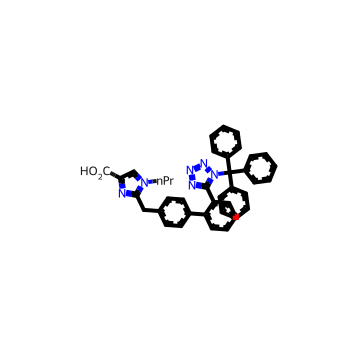 CCCn1cc(C(=O)O)nc1Cc1ccc(-c2ccccc2-c2nnnn2C(c2ccccc2)(c2ccccc2)c2ccccc2)cc1